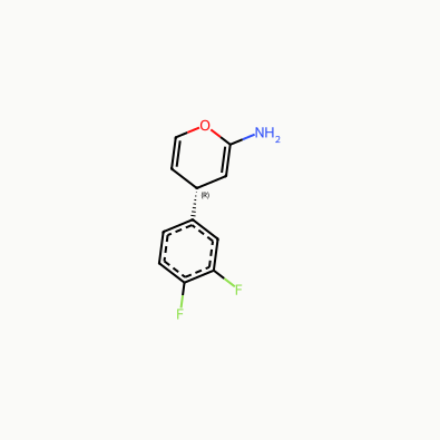 NC1=C[C@H](c2ccc(F)c(F)c2)C=CO1